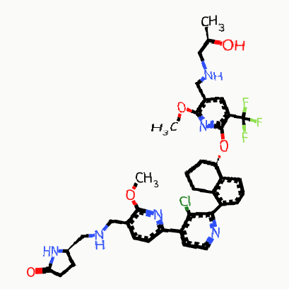 COc1nc(-c2ccnc(-c3cccc4c3CCC[C@@H]4Oc3nc(OC)c(CNC[C@@H](C)O)cc3C(F)(F)F)c2Cl)ccc1CNC[C@H]1CCC(=O)N1